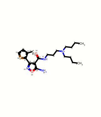 CCCCN(CCCC)CCCNC(=O)c1c(-c2sccc2C)noc1N